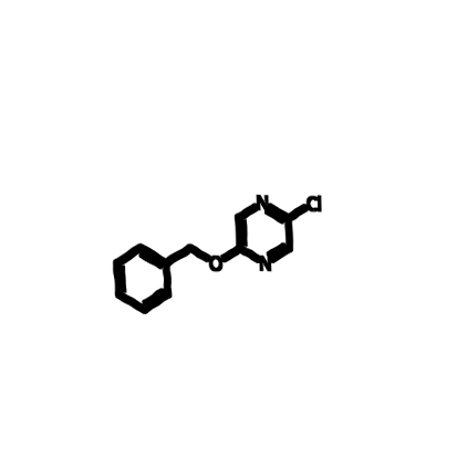 Clc1cnc(OCc2ccccc2)cn1